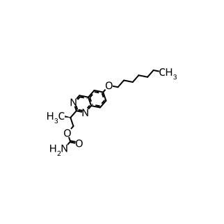 CCCCCCCOc1ccc2nc([C@H](C)COC(N)=O)ncc2c1